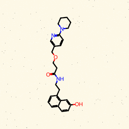 O=C(CCOCc1ccc(N2CCCCC2)nc1)NCCc1cccc2ccc(O)cc12